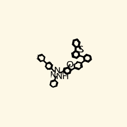 C1=CCC(c2ccc(C3=NC(C4=CCCC=C4)NC(c4ccc5c(c4)OC4CC(c6ccccc6-c6cccc7c6sc6ccccc67)=CC=C54)=N3)cc2)C=C1